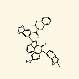 Cc1cn2ccc(N(C(=O)c3cc(-c4cc5c(cc4C(=O)N4Cc6ccccc6C[C@H]4C)OCO5)n4ccccc34)c3ccc(O)cc3)cc2n1